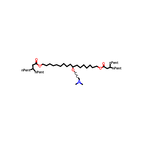 CCCCCC(CCCCC)CC(=O)OCCCCCCCCCC(CCCCCCCOC(=O)CC(CCCCC)CCCCC)OCCCN(C)C